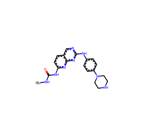 CC(C)(C)NC(=O)Nc1ccc2cnc(Nc3ccc(N4CCNCC4)cc3)nc2n1